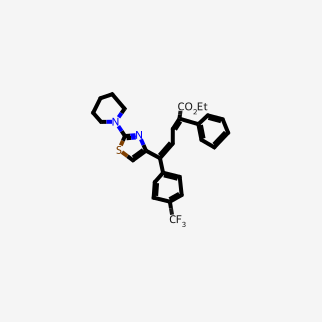 CCOC(=O)C(=CC=C(c1ccc(C(F)(F)F)cc1)c1csc(N2CCCCC2)n1)c1ccccc1